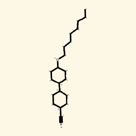 CCCCCCCCOC1CCC(C2CCC(C#N)CC2)CC1